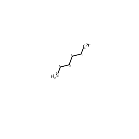 CC[CH]CCCCN